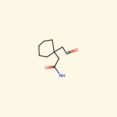 [NH]C(=O)CC1(CC=O)CCCCC1